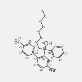 CCCCCCCCC(O)(c1ccccc1)c1cc(Br)ccc1-c1ccc(Br)cc1